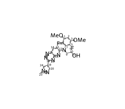 COc1cc(OC)c(F)c(N(CCO)c2ccc3nnc(-c4cnn(C)c4)nc3n2)c1F